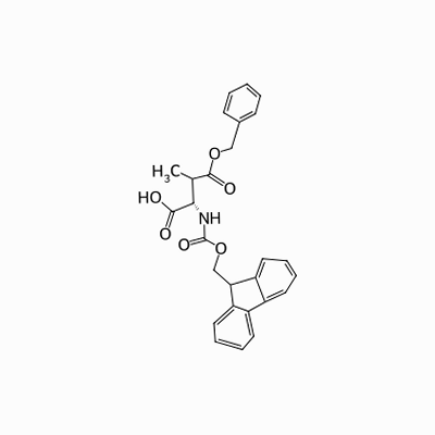 CC(C(=O)OCc1ccccc1)[C@H](NC(=O)OCC1c2ccccc2-c2ccccc21)C(=O)O